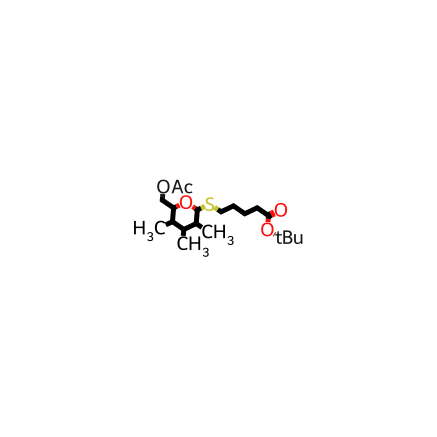 CC(=O)OCC1OC(SCCCCC(=O)OC(C)(C)C)C(C)C(C)C1C